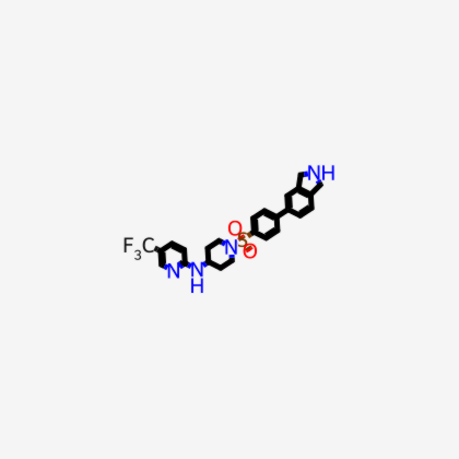 O=S(=O)(c1ccc(-c2ccc3c(c2)CNC3)cc1)N1CCC(Nc2ccc(C(F)(F)F)cn2)CC1